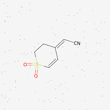 N#CC=C1C=CS(=O)(=O)CC1